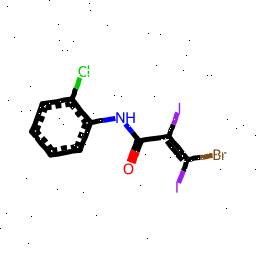 O=C(Nc1ccccc1Cl)C(I)=C(Br)I